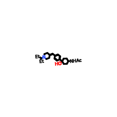 CCC(CC)N1CCC(=Cc2ccc(C3(O)CCC(NC(C)=O)CC3)cc2)CC1